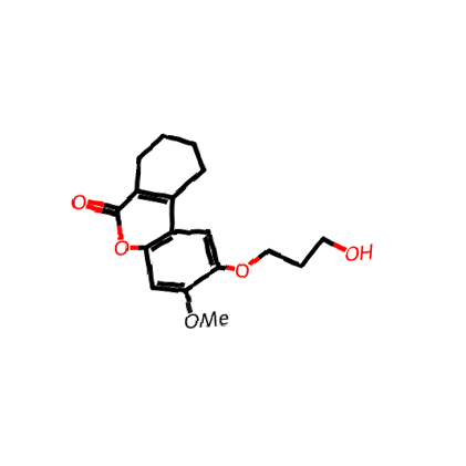 COc1cc2oc(=O)c3c(c2cc1OCCCO)CCCC3